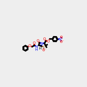 CC1(C)C(C(=O)OCc2ccc([N+](=O)[O-])cc2)N2C(=O)[C@@H](NC(=O)COc3ccccc3)[C@H]2[S@@+]1[O-]